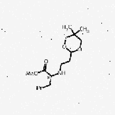 COC(=O)[C@H](CC(C)C)NCCC1OCC(C)(C)CO1